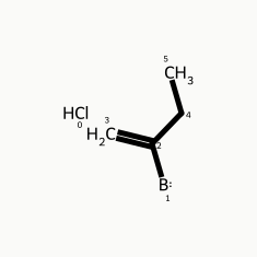 Cl.[B]C(=C)CC